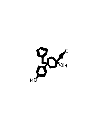 Oc1ccc(C2(Cc3ccccc3)CCC(O)(C#CCl)CC2)cc1